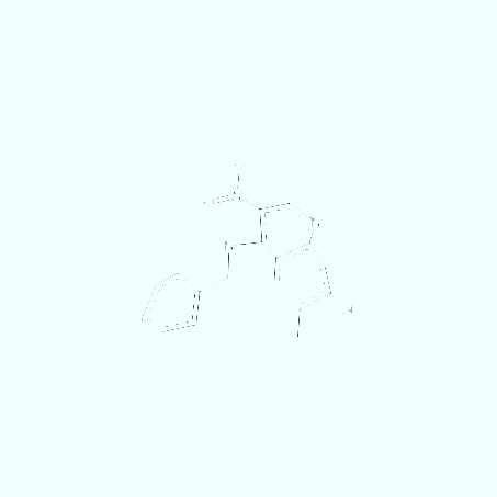 Cc1cc2c(N[C@H](C)c3ccccc3)c([N+](=O)[O-])cnc2cc1Br